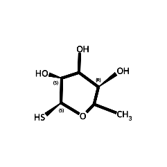 CC1O[C@@H](S)[C@@H](O)C(O)[C@H]1O